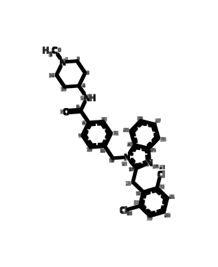 CN1CCC(NC(=O)c2ccc(Cn3c(Cc4c(Cl)cccc4Cl)nc4ccccc43)cc2)CC1